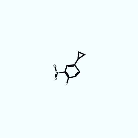 O=[N+]([O-])c1cc(C2CC2)ccc1F